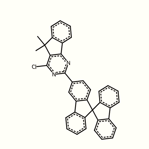 CC1(C)c2ccccc2-c2nc(-c3ccc4c(c3)-c3ccccc3C43c4ccccc4-c4ccccc43)nc(Cl)c21